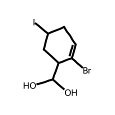 OC(O)C1CC(I)CC=C1Br